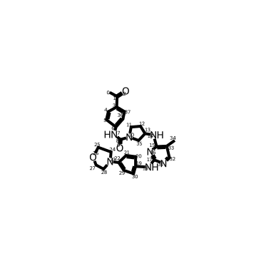 CC(=O)c1ccc(NC(=O)N2CCC(Nc3nc(Nc4ccc(N5CCOCC5)cc4)ncc3C)C2)cc1